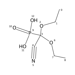 CCOC(C#N)(OCC)P(=O)(O)O